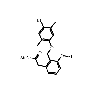 CCOc1cccc(CC(=O)NC)c1COc1cc(C)c(CC)cc1C